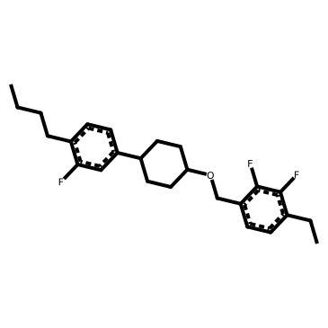 CCCCc1ccc(C2CCC(OCc3ccc(CC)c(F)c3F)CC2)cc1F